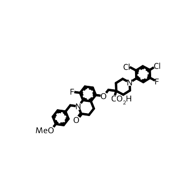 COc1ccc(CN2C(=O)CCc3c(OCC4(C(=O)O)CCN(c5cc(F)c(Cl)cc5Cl)CC4)ccc(F)c32)cc1